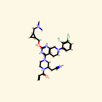 C=CC(=O)N1CCN(c2nc(OCC3CC3CN(C)C)nc3c2CCN(c2cccc(Cl)c2F)C3)CC1CC#N